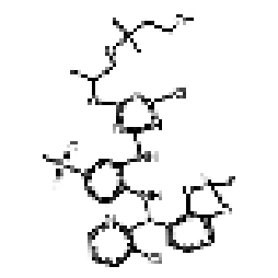 CC(COC(C)(C)CCO)Oc1nc(Cl)nc(Nc2cc(S(C)(=O)=O)ccc2N[C@@H](c2cccc3c2OC(F)(F)O3)c2ncccc2Cl)n1